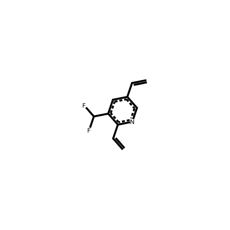 C=Cc1cnc(C=C)c(C(F)F)c1